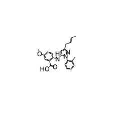 CC=CCc1cc(Nc2ccc(OC)cc2C(=O)O)n(-c2ccccc2C)n1